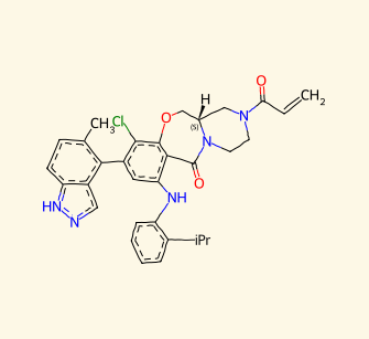 C=CC(=O)N1CCN2C(=O)c3c(Nc4ccccc4C(C)C)cc(-c4c(C)ccc5[nH]ncc45)c(Cl)c3OC[C@@H]2C1